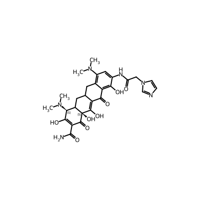 CN(C)c1cc(NC(=O)Cn2ccnc2)c(O)c2c1CC1CC3[C@H](N(C)C)C(O)=C(C(N)=O)C(=O)[C@@]3(O)C(O)=C1C2=O